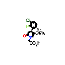 COc1cn(CC(=O)O)c(=O)cc1-c1c(C(C)=O)ccc(Cl)c1F